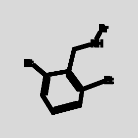 CCc1cccc(CC)c1CNBr